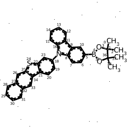 CC1(C)OB(c2ccc3c(c2)c2ccccc2n3-c2ccc3c(c2)sc2cc4ccccc4cc23)OC1(C)C